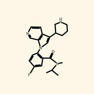 CC(C)N(C)C(=O)c1cc(F)ccc1-n1cc(C2CCCNC2)c2ccncc21